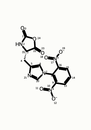 O=C1N[C@@H](Cc2cn(-c3c([N+](=O)[O-])cccc3[N+](=O)[O-])cn2)C(=O)O1